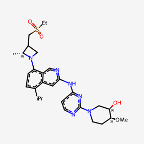 CCS(=O)(=O)CC1CN(c2ccc(C(C)C)c3cc(Nc4ccnc(N5CC[C@H](OC)[C@H](O)C5)n4)ncc23)[C@@H]1C